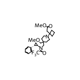 COCC1(CN(C(=O)C(F)(F)F)[C@@H]2C[C@H]2c2ccccc2)CCN(C2(CC(=O)OC)CCC2)CC1